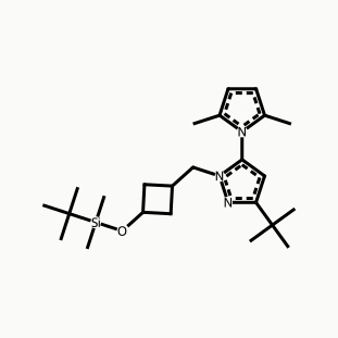 Cc1ccc(C)n1-c1cc(C(C)(C)C)nn1CC1CC(O[Si](C)(C)C(C)(C)C)C1